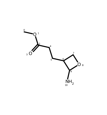 COC(=O)CCC1COC1N